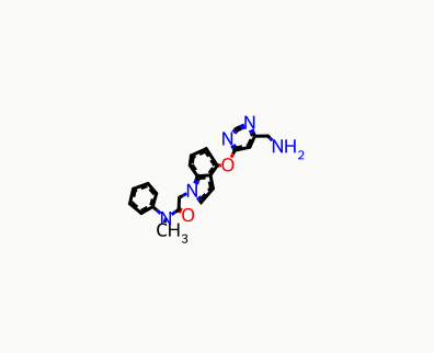 CN(C(=O)Cn1ccc2c(Oc3cc(CN)ncn3)cccc21)c1ccccc1